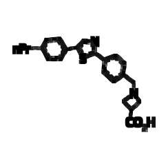 CCCc1ccc(-c2cnc(-c3ccc(CN4CC(C(=O)O)C4)cc3)s2)cc1